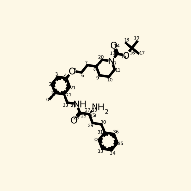 Cc1ccc(OCCC2CCCN(C(=O)OC(C)(C)C)C2)cc1CNC(=O)[C@@H](N)CCc1ccccc1